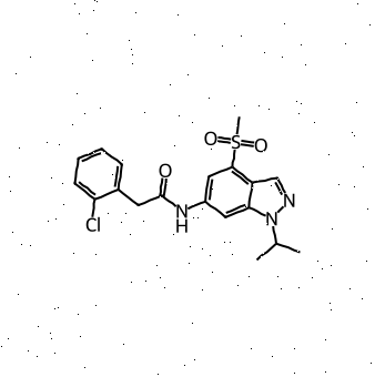 CC(C)n1ncc2c(S(C)(=O)=O)cc(NC(=O)Cc3ccccc3Cl)cc21